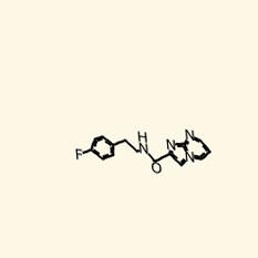 O=C(NCCc1ccc(F)cc1)c1cn2cccnc2n1